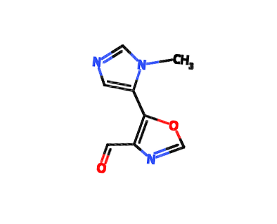 Cn1cncc1-c1ocnc1C=O